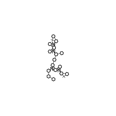 CC1(C)c2ccccc2-c2cc(-n3c4ccccc4c4c5c6cc(-c7ccc(-c8cc(-c9ccccc9)cc(-n9c%10ccccc%10c%10c%11c%12ccccc%12n(-c%12cccc%13c%12C(C)(C)c%12ccccc%12-%13)c%11ccc%109)c8)cc7)ccc6n(-c6cccc(-c7cccc(-c8ccccc8)c7)c6)c5ccc43)ccc21